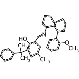 COc1ccccc1-c1cccc2cccc(/N=C/c3cc(C)cc(C(C)(C)c4ccccc4)c3O)c12